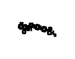 CC(=O)c1ccc(N2CCN([C@H]3C=C(c4cc5ncccc5c(=O)[nH]4)CC3)CC2)cc1